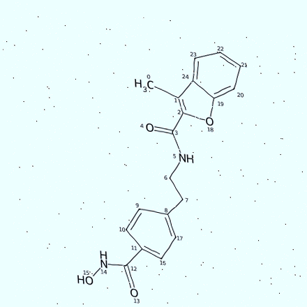 Cc1c(C(=O)NCCc2ccc(C(=O)NO)cc2)oc2ccccc12